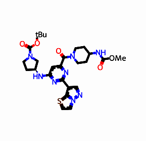 COC(=O)NC1CCN(C(=O)c2cc(N[C@@H]3CCN(C(=O)OC(C)(C)C)C3)nc(-c3cnn4ccsc34)n2)CC1